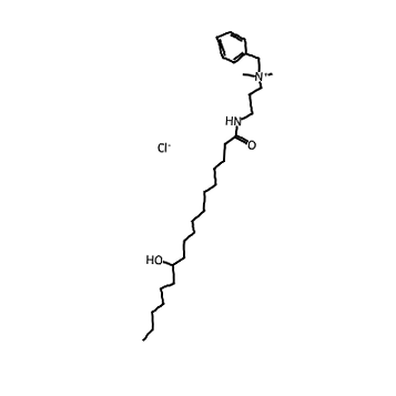 CCCCCCC(O)CCCCCCCCCCC(=O)NCCC[N+](C)(C)Cc1ccccc1.[Cl-]